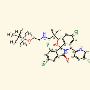 CC(C)(C)[Si](C)(C)OCCNCC1(COC2(c3ccc(Cl)cc3)c3c(F)cc(Br)cc3C(=O)N2Cc2ccc(Cl)cn2)CC1